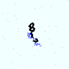 N[C@@H]1CCN(c2cc(-c3ccc4ccccc4c3)ncn2)C1